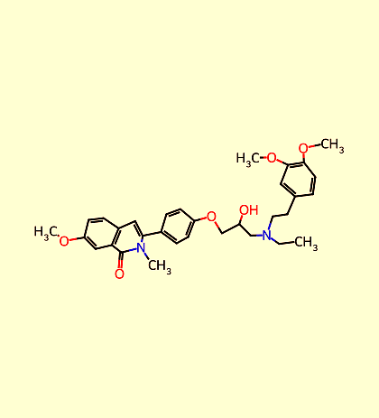 CCN(CCc1ccc(OC)c(OC)c1)CC(O)COc1ccc(-c2cc3ccc(OC)cc3c(=O)n2C)cc1